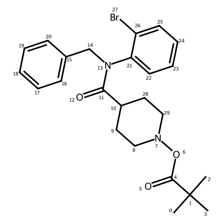 CC(C)(C)C(=O)ON1CCC(C(=O)N(Cc2ccccc2)c2ccccc2Br)CC1